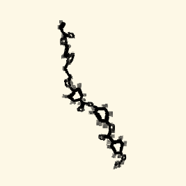 C=CC(=O)OCCOCCOc1ccc(C(=O)Oc2ccc(OC(=O)c3ccc(OCC)cc3)cc2)cc1